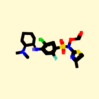 Cc1csc(N(OC=O)S(=O)(=O)c2cc(Cl)c(N[C@H]3CCCC[C@@H]3N(C)C)cc2F)n1